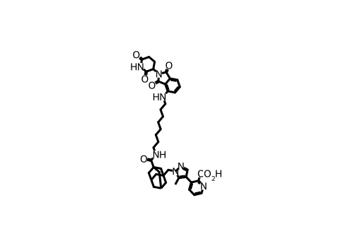 Cc1c(-c2cccnc2C(=O)O)cnn1CC12CC3CC(C1)CC(C(=O)NCCCCCCCCNc1cccc4c1C(=O)N(C1CCC(=O)NC1=O)C4=O)(C3)C2